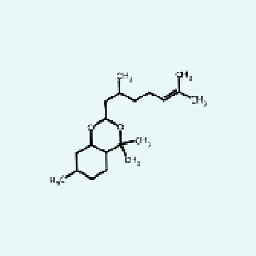 CC(C)=CCCC(C)C[C@@H]1OC2CC(C)CCC2C(C)(C)O1